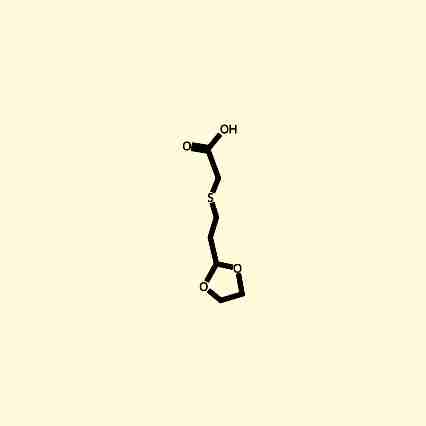 O=C(O)CSCCC1OCCO1